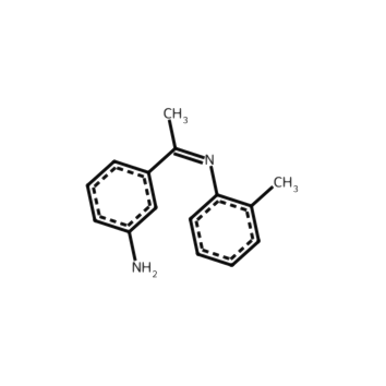 CC(=Nc1ccccc1C)c1cccc(N)c1